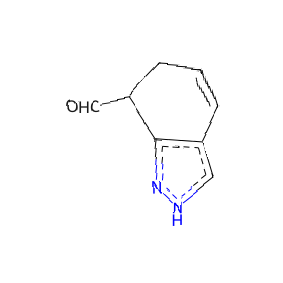 O=CC1CC=Cc2c[nH]nc21